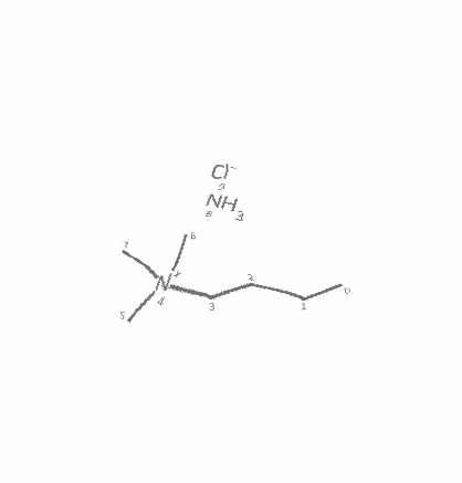 CCCC[N+](C)(C)C.N.[Cl-]